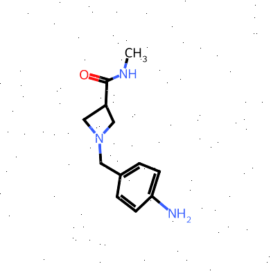 CNC(=O)C1CN(Cc2ccc(N)cc2)C1